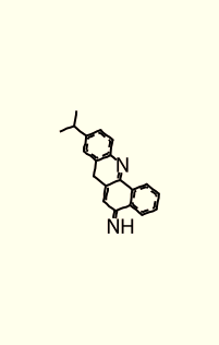 CC(C)c1ccc2c(c1)CC1=CC(=N)c3ccccc3C1=N2